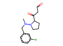 CN(Cc1cccc(F)c1)N1CCCC1C(=O)CC=O